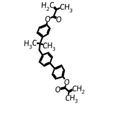 C=C(C)C(=O)Oc1ccc(-c2ccc(CC(C)(C)c3ccc(OC(=O)C(=C)C)cc3)cc2)cc1